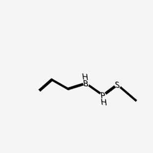 CCCBPSC